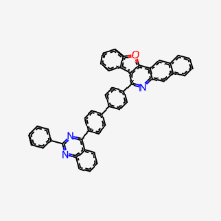 c1ccc(-c2nc(-c3ccc(-c4ccc(-c5nc6cc7ccccc7cc6c6oc7ccccc7c56)cc4)cc3)c3ccccc3n2)cc1